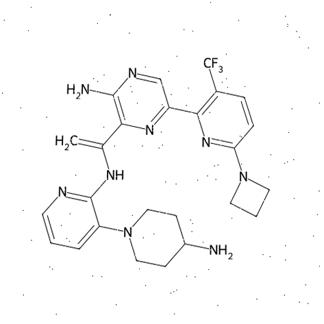 C=C(Nc1ncccc1N1CCC(N)CC1)c1nc(-c2nc(N3CCC3)ccc2C(F)(F)F)cnc1N